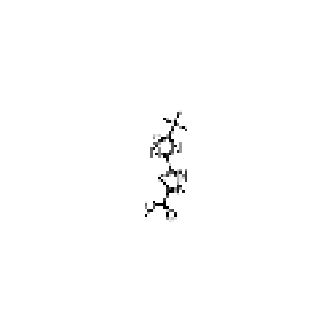 COC(=O)c1nnc(-c2nsc(C(C)(C)C)n2)s1